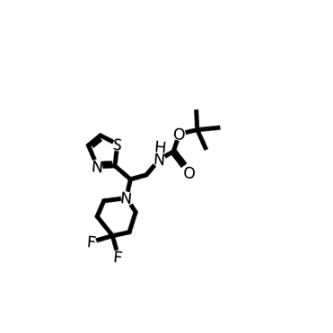 CC(C)(C)OC(=O)NCC(c1nccs1)N1CCC(F)(F)CC1